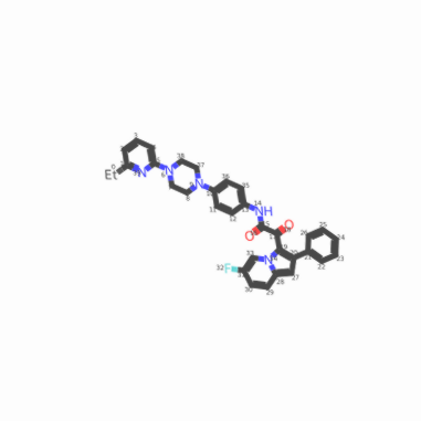 CCc1cccc(N2CCN(c3ccc(NC(=O)C(=O)c4c(-c5ccccc5)cc5ccc(F)cn45)cc3)CC2)n1